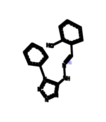 Oc1ccccc1/C=N/Nc1nnnn1-c1ccccc1